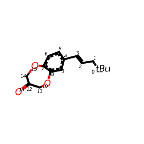 CC(C)(C)CC=Cc1ccc2c(c1)OCC(=O)CO2